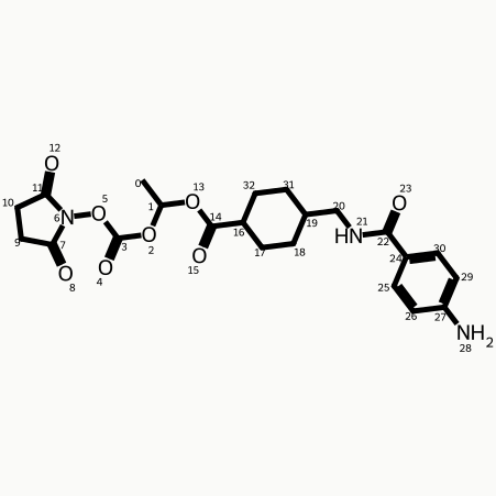 CC(OC(=O)ON1C(=O)CCC1=O)OC(=O)C1CCC(CNC(=O)c2ccc(N)cc2)CC1